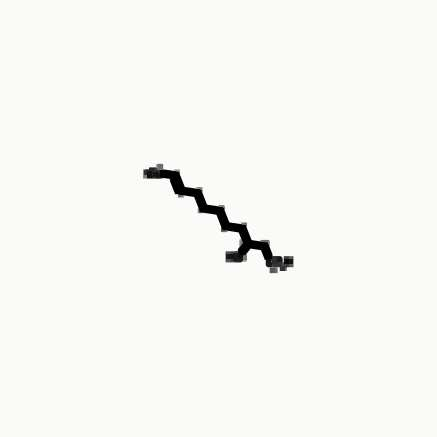 CCCCC=CCCCCCC(O)CC(=O)O